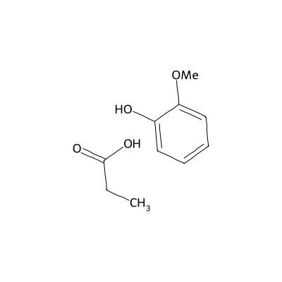 CCC(=O)O.COc1ccccc1O